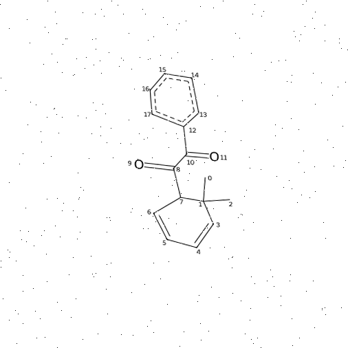 CC1(C)C=CC=CC1C(=O)C(=O)c1ccccc1